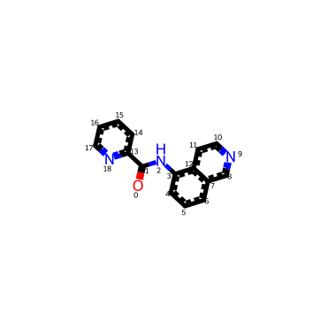 O=C(Nc1cccc2cnccc12)c1ccccn1